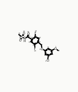 COc1cc(Cl)cc(OCc2cc(F)c(C(=O)NS(C)(=O)=O)cc2F)c1